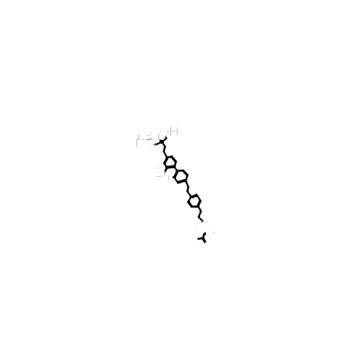 C=C(C)C(=O)OCCCc1ccc(CCc2ccc(-c3ccc(CCC(CO)(CO)CCCC)cc3CC)c(CC)c2)cc1